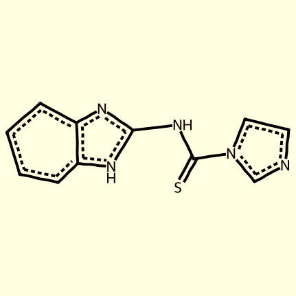 S=C(Nc1nc2ccccc2[nH]1)n1ccnc1